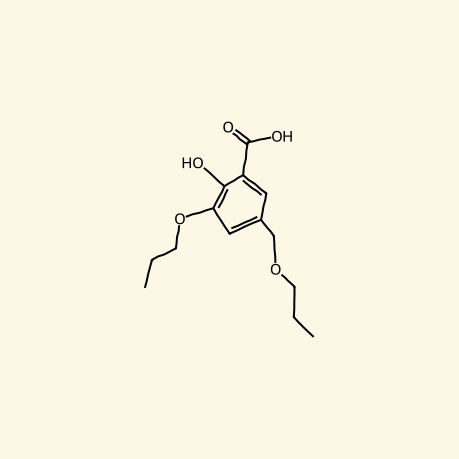 CCCOCc1cc(OCCC)c(O)c(C(=O)O)c1